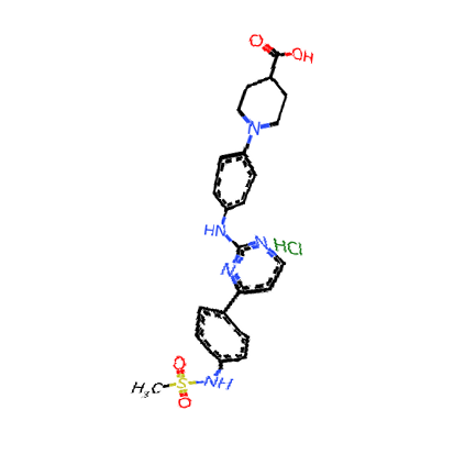 CS(=O)(=O)Nc1ccc(-c2ccnc(Nc3ccc(N4CCC(C(=O)O)CC4)cc3)n2)cc1.Cl